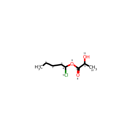 CCCCC(Cl)OC(=O)C(C)O